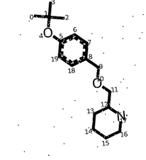 CC(C)(C)Oc1ccc(COCC2CCCC[N]2)cc1